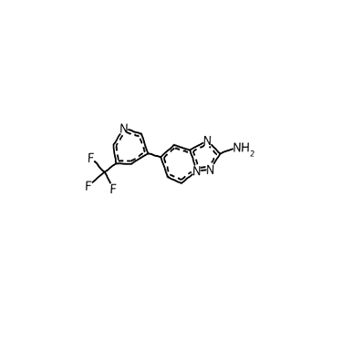 Nc1nc2cc(-c3cncc(C(F)(F)F)c3)ccn2n1